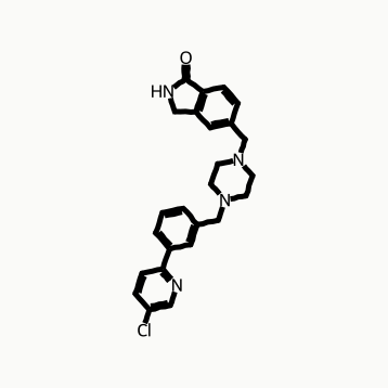 O=C1NCc2cc(CN3CCN(Cc4cccc(-c5ccc(Cl)cn5)c4)CC3)ccc21